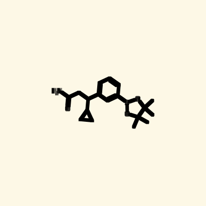 CC1(C)OB(c2cccc(C(CC(N)=O)C3CC3)c2)OC1(C)C